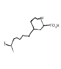 O=C(O)C1CC(CCCCC(F)F)CCN1